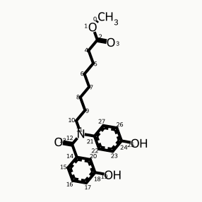 COC(=O)CCCCCCCN(C(=O)c1cccc(O)c1)c1ccc(O)cc1